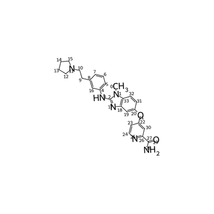 Cn1c(Nc2cccc(CCN3CCCC3)c2)nc2cc(Oc3ccnc(C(N)=O)c3)ccc21